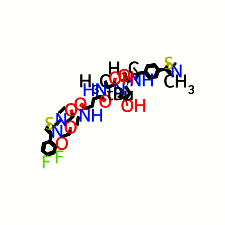 Cc1ncsc1-c1ccc([C@H](C)NC(=O)[C@@H]2C[C@@H](O)CN2C(O)[C@](C)(NC(=O)CCC(=O)NCCOCCOc2c(-c3csc(N4CCOCC4)n3)ccc(F)c2F)C(C)(C)C)cc1